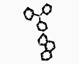 c1ccc(P(c2ccccc2)c2ccccc2)cc1.c1ccc2c(c1)ccc1cccnc12